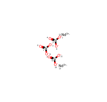 O=[Si]([O-])[O-].O=[Si]([O-])[O-].O=[Si]([O-])[O-].[Nd+3].[Nd+3]